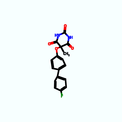 CC1(Oc2ccc(-c3ccc(F)cc3)cc2)C(=O)NC(=O)NC1=O